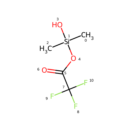 C[Si](C)(O)OC(=O)C(F)(F)F